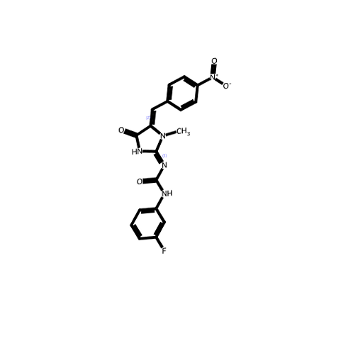 CN1/C(=C\c2ccc([N+](=O)[O-])cc2)C(=O)N/C1=N\C(=O)Nc1cccc(F)c1